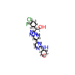 OCC(c1ccc(Cl)c(F)c1)c1nnc2cc(-c3ccnc(NC4CCOCC4)n3)cnn12